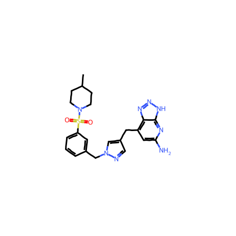 CC1CCN(S(=O)(=O)c2cccc(Cn3cc(Cc4cc(N)nc5[nH]nnc45)cn3)c2)CC1